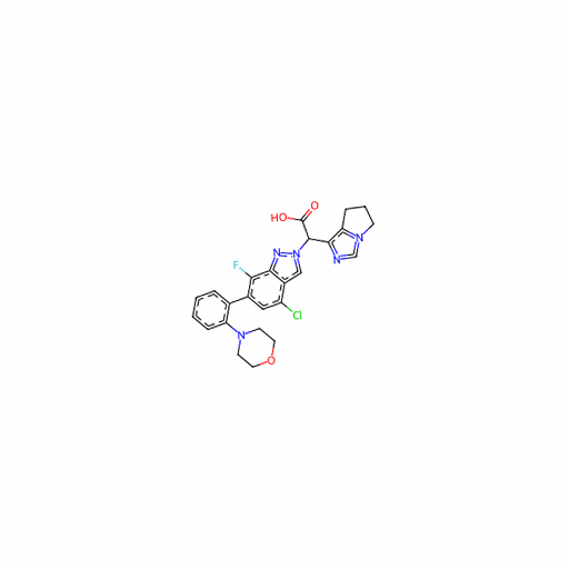 O=C(O)C(c1ncn2c1CCC2)n1cc2c(Cl)cc(-c3ccccc3N3CCOCC3)c(F)c2n1